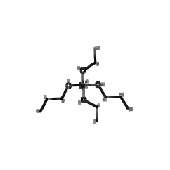 CCC[O][Sn]([O]CC)([O]CC)[O]CCC